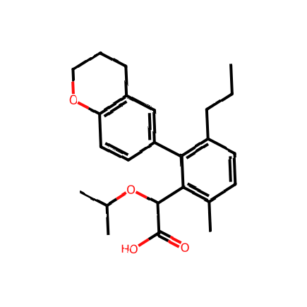 CCCc1ccc(C)c(C(OC(C)C)C(=O)O)c1-c1ccc2c(c1)CCCO2